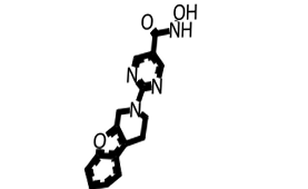 O=C(NO)c1cnc(N2CCc3c(oc4ccccc34)C2)nc1